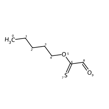 CCCCCOC(=S)[C]=O